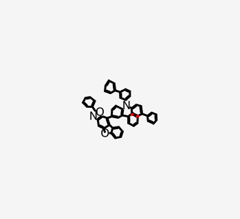 c1ccc(-c2ccc(N(c3cccc(-c4ccccc4)c3)c3ccc(-c4c5oc(-c6ccccc6)nc5cc5oc6ccccc6c45)cc3-c3ccccc3)cc2)cc1